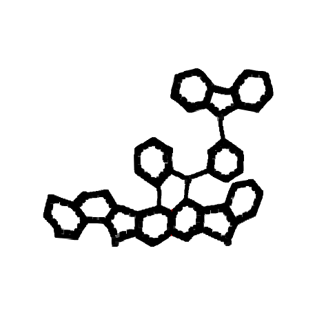 c1cc(N(c2ccccc2-c2cccc3oc4c5ccccc5ccc4c23)c2cccc3oc4ccccc4c23)cc(-n2c3ccccc3c3ccccc32)c1